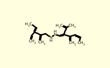 C=C/C(=C\C)C(=C)CNN/C=C(\C(=C)C)C(=C)/C=C\C